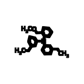 CCc1ccc[c]([Bi]([c]2cccc(CC)c2)[c]2ccccc2COC)c1